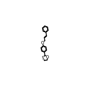 C(=C\c1ccccc1)/COc1ccc(C2OCCS2)cc1